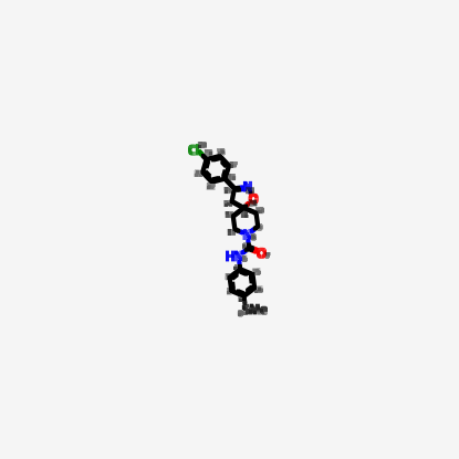 CSc1ccc(NC(=O)N2CCC3(CC2)CC(c2ccc(Cl)cc2)=NO3)cc1